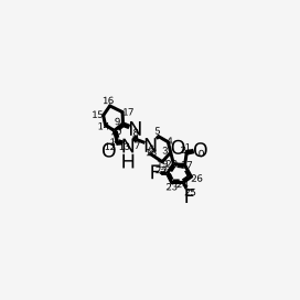 O=C1OC2(CCN(c3nc4c(c(=O)[nH]3)CCCC4)CC2)c2c(F)cc(F)cc21